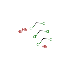 Br.Br.Br.ClCCl.ClCCl.ClCCl